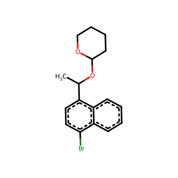 CC(OC1CCCCO1)c1ccc(Br)c2ccccc12